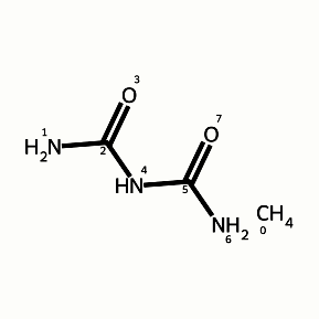 C.NC(=O)NC(N)=O